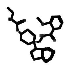 CCNC(=O)O[C@H]1CC[C@](CNC(=O)C2CC=CC=C2OC)(C2CSc3ccccc32)CC1